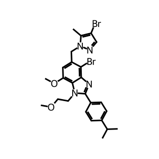 COCCn1c(-c2ccc(C(C)C)cc2)nc2c(Br)c(Cn3ncc(Br)c3C)cc(OC)c21